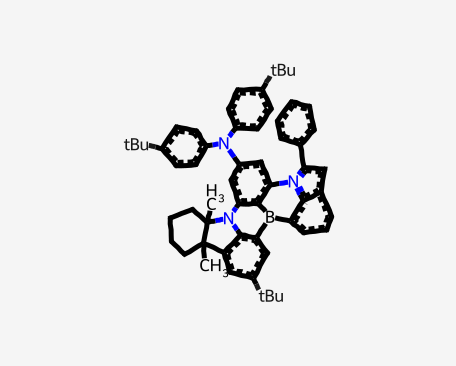 CC(C)(C)c1ccc(N(c2ccc(C(C)(C)C)cc2)c2cc3c4c(c2)-n2c(-c5ccccc5)cc5cccc(c52)B4c2cc(C(C)(C)C)cc4c2N3C2(C)CCCCC42C)cc1